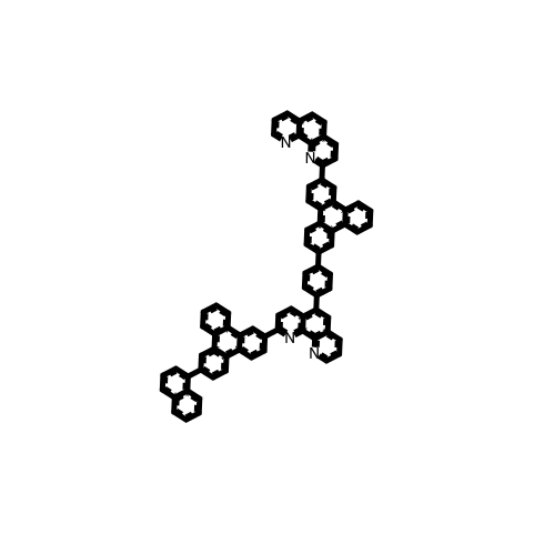 c1ccc2c(-c3ccc4c5ccc(-c6ccc7c(-c8ccc(-c9ccc%10c%11ccc(-c%12ccc%13ccc%14cccnc%14c%13n%12)cc%11c%11ccccc%11c%10c9)cc8)cc8cccnc8c7n6)cc5c5ccccc5c4c3)cccc2c1